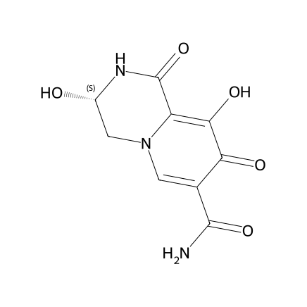 NC(=O)c1cn2c(c(O)c1=O)C(=O)N[C@@H](O)C2